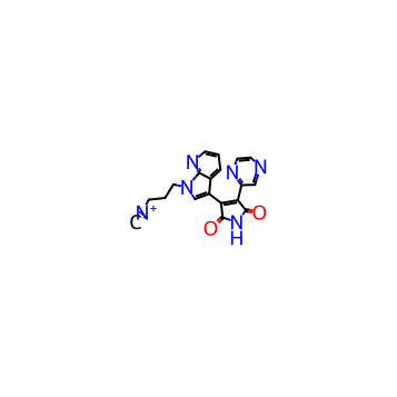 [C-]#[N+]CCCn1cc(C2=C(c3cnccn3)C(=O)NC2=O)c2cccnc21